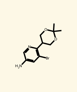 CC1(C)OCC(c2ncc(N)cc2Br)CO1